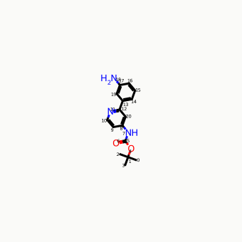 CC(C)(C)OC(=O)Nc1ccnc(-c2cccc(N)c2)c1